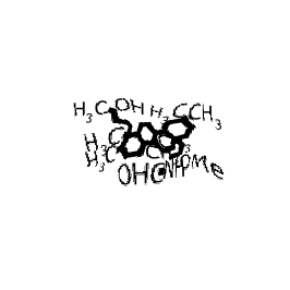 COC(CNC=O)CC12CCC(C)(C)CC1C1=CCC3C(C)(CCC(C)O)C(C)CCC3(C)C1(C)CC2